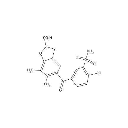 Cc1c(C(=O)c2ccc(Cl)c(S(N)(=O)=O)c2)cc2c(c1C)OC(C(=O)O)C2